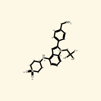 NCc1ccc(-c2cc3c(NC4CCS(=O)(=O)CC4)cccc3n2CC(F)(F)F)cc1